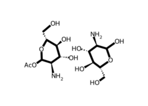 CC(=O)OC1O[C@H](CO)[C@@H](O)[C@H](O)[C@H]1N.N[C@H]1C(O)O[C@H](CO)[C@@H](O)[C@@H]1O